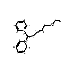 CCSCCSCC(N1C=CC=CC1)[n+]1ccccc1